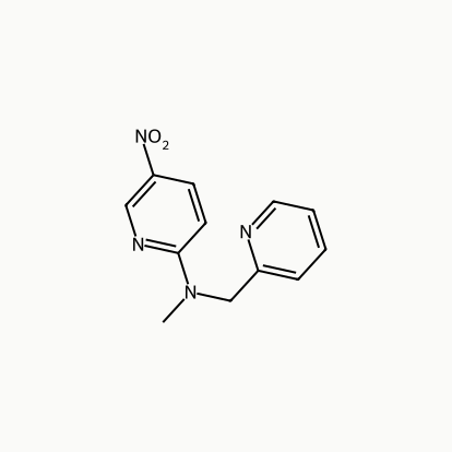 CN(Cc1ccccn1)c1ccc([N+](=O)[O-])cn1